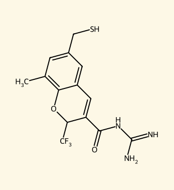 Cc1cc(CS)cc2c1OC(C(F)(F)F)C(C(=O)NC(=N)N)=C2